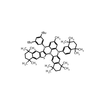 Cc1cc2c3c(c1)N(c1cc(C(C)(C)C)cc(C(C)(C)C)c1)c1c(sc4cc5c(cc14)C(C)(C)CCC5(C)C)B3c1cc3c(cc1N2c1ccc2c(c1)C(C)(C)CCC2(C)C)C(C)(C)CCC3(C)C